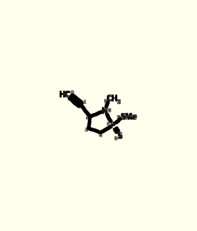 C#CC1CCP(=S)(SC)N1C